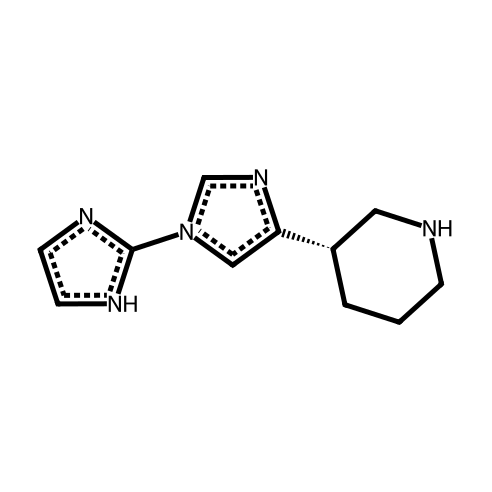 c1c[nH]c(-n2cnc([C@H]3CCCNC3)c2)n1